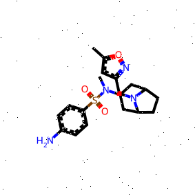 Cc1cc(CN2C3CCC2CC(N(C)S(=O)(=O)c2ccc(N)cc2)C3)no1